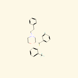 Fc1cccc(C(Sc2ccccc2C(F)(F)F)[C@@H]2CN(CCc3ccccc3)CCO2)c1